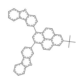 CC(C)(C)c1cc2ccc3c(-c4ccc5c(c4)oc4ccccc45)cc(-c4ccc5oc6ccccc6c5c4)c4ccc(c1)c2c34